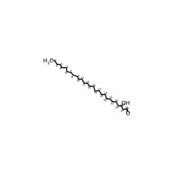 CCCCCCCCCCCCCCCCCCCCCCCCCC(O)C[C]=O